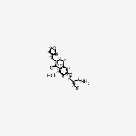 Cl.NC/C(=C\F)COc1ccc2c(c1)CCN(Cc1ccon1)C2=O